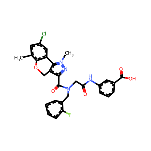 Cc1cc(Cl)cc2c1OCc1c(C(=O)N(CC(=O)Nc3cccc(C(=O)O)c3)Cc3ccccc3F)nn(C)c1-2